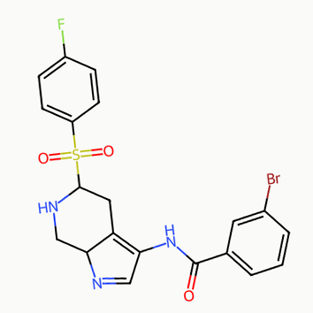 O=C(NC1=C2CC(S(=O)(=O)c3ccc(F)cc3)NCC2N=C1)c1cccc(Br)c1